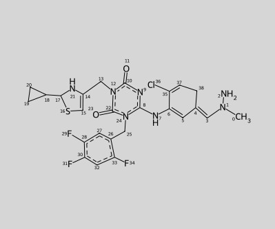 CN(N)/C=C1/C=C(Nc2nc(=O)n(CC3=CSC(C4CC4)N3)c(=O)n2Cc2cc(F)c(F)cc2F)C(Cl)=CC1